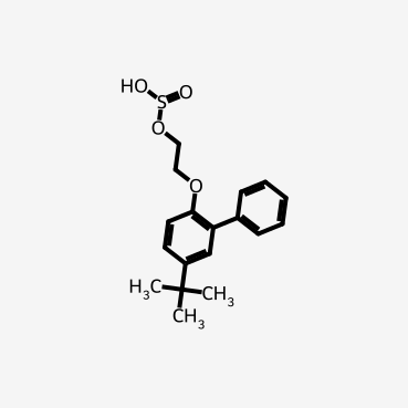 CC(C)(C)c1ccc(OCCOS(=O)O)c(-c2ccccc2)c1